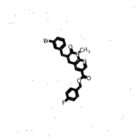 CN1C(=O)C(Cc2cccc(Br)c2)Cc2cc(C(=O)OCc3ccc(F)cc3)cnc21